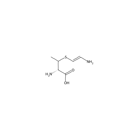 CC(SC=CN)[C@@H](N)C(=O)O